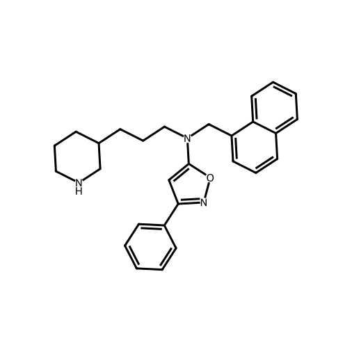 c1ccc(-c2cc(N(CCCC3CCCNC3)Cc3cccc4ccccc34)on2)cc1